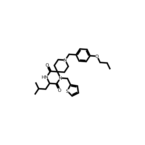 CCCOc1ccc(CN2CCC3(CC2)C(=O)NC(CC(C)C)C(=O)N3Cc2cccs2)cc1